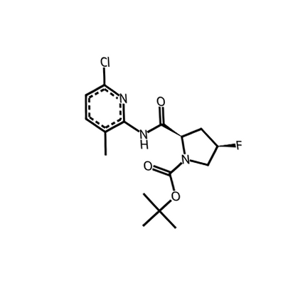 Cc1ccc(Cl)nc1NC(=O)[C@H]1C[C@@H](F)CN1C(=O)OC(C)(C)C